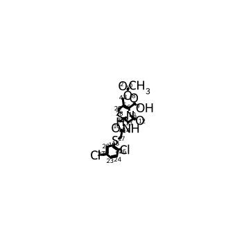 CC(=O)OCC1=C(C(=O)O)N2C(=O)C(NC(=O)CSc3cc(Cl)ccc3Cl)[C@H]2SC1